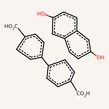 O=C(O)c1ccc(-c2ccc(C(=O)O)cc2)cc1.Oc1ccc2cc(O)ccc2c1